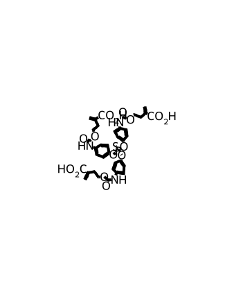 C=C(CCOC(=O)Nc1ccc(OP(=S)(Oc2ccc(NC(=O)OCCC(=C)C(=O)O)cc2)Oc2ccc(NC(=O)OCCC(=C)C(=O)O)cc2)cc1)C(=O)O